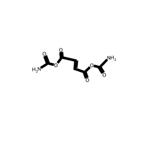 NC(=O)OC(=O)/C=C/C(=O)OC(N)=O